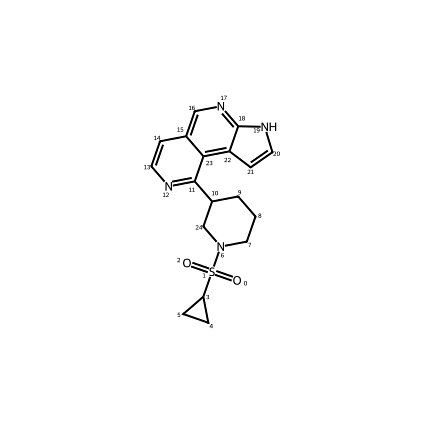 O=S(=O)(C1CC1)N1CCCC(c2nccc3cnc4[nH]ccc4c23)C1